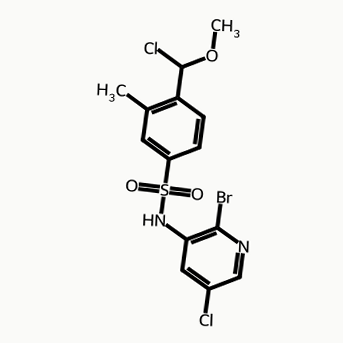 COC(Cl)c1ccc(S(=O)(=O)Nc2cc(Cl)cnc2Br)cc1C